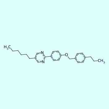 CCCCCCc1cnc(-c2ccc(OCc3ccc(CCC)cc3)cc2)nc1